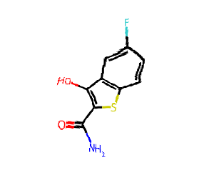 NC(=O)c1sc2ccc(F)cc2c1O